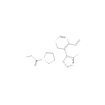 C=CC1=C(c2cc[nH]c2N)[C@H](C2CCN(C(=O)CC(F)(F)F)C2)NC=N1